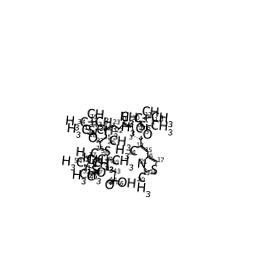 C/C(=C/C[C@H](O[Si](C)(C)C(C)(C)C)/C(C)=C/c1csc(C)n1)C/C=C\[C@H](C)[C@H](O[Si](C)(C)C(C)(C)C)[C@@H](C)SC(C)(C)[C@@H](CC(=O)O)O[Si](C)(C)C(C)(C)C